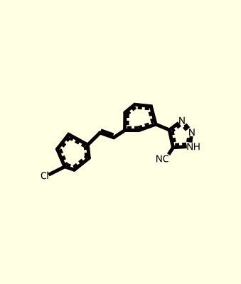 N#Cc1[nH]nnc1-c1cccc(/C=C/c2ccc(Cl)cc2)c1